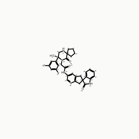 C[C@@]1(c2cc(F)cc(F)c2)CNC2(CCCC2)C(=O)N1CC(=O)Nc1cnc2c(c1)CC1(C2)C(=O)Nc2ccccc21